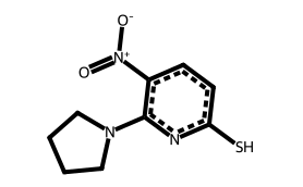 O=[N+]([O-])c1ccc(S)nc1N1CCCC1